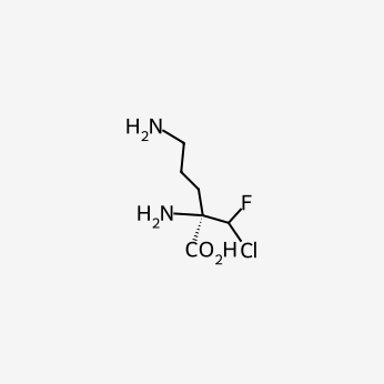 NCCC[C@@](N)(C(=O)O)C(F)Cl